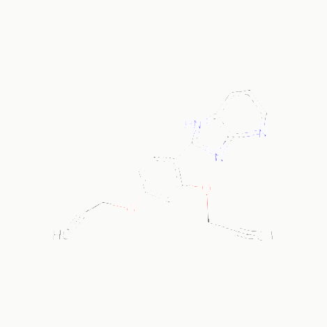 C#CCOc1ccc(-c2nc3ncccc3[nH]2)c(OCC#C)c1